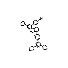 N#Cc1ccc(-c2cc(-c3ccccc3)nc3ccc4c(-c5ccc(-c6nc(-c7ccccc7)nc(-c7ccccc7)n6)cc5)cccc4c23)cc1